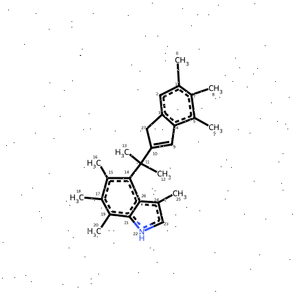 Cc1cc2c(c(C)c1C)C=C(C(C)(C)c1c(C)c(C)c(C)c3[nH]cc(C)c13)C2